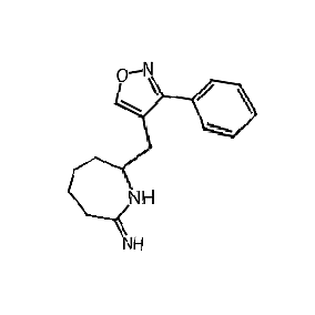 N=C1CCCCC(Cc2conc2-c2ccccc2)N1